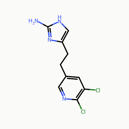 Nc1nc(CCc2cnc(Cl)c(Cl)c2)c[nH]1